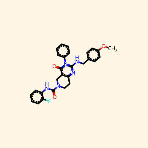 COc1ccc(CNc2nc3c(c(=O)n2-c2ccccc2)CN(C(=O)Nc2ccccc2F)CC3)cc1